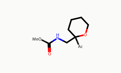 COC(=O)NCC1(C(C)=O)CCCCO1